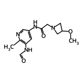 COC1CN(CC(=O)Nc2cnc(C)c(NC=O)c2)C1